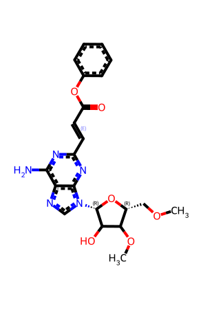 COC[C@H]1O[C@@H](n2cnc3c(N)nc(/C=C/C(=O)Oc4ccccc4)nc32)C(O)C1OC